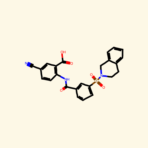 N#Cc1ccc(NC(=O)c2cccc(S(=O)(=O)N3CCc4ccccc4C3)c2)c(C(=O)O)c1